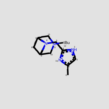 Cc1c[nH]c(CN2C3CC2CN(C(C)(C)C)C3)n1